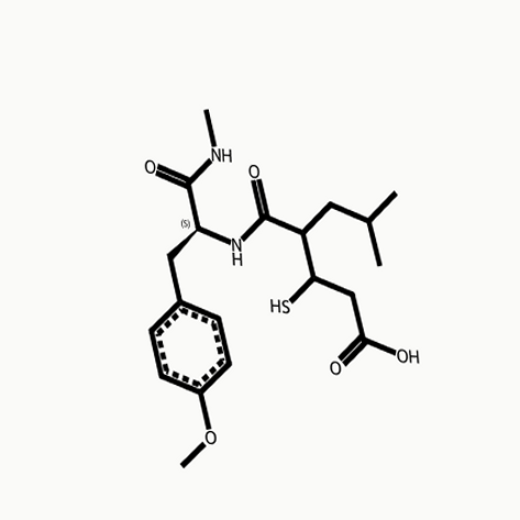 CNC(=O)[C@H](Cc1ccc(OC)cc1)NC(=O)C(CC(C)C)C(S)CC(=O)O